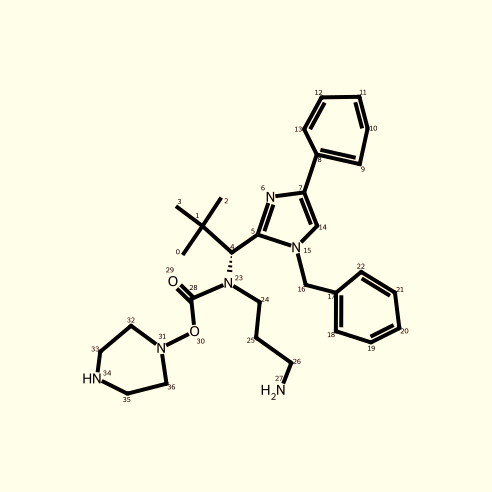 CC(C)(C)[C@H](c1nc(-c2ccccc2)cn1Cc1ccccc1)N(CCCN)C(=O)ON1CCNCC1